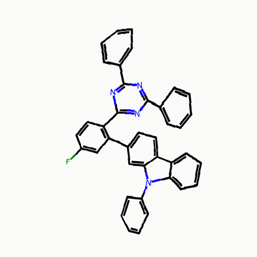 Fc1ccc(-c2nc(-c3ccccc3)nc(-c3ccccc3)n2)c(-c2ccc3c4ccccc4n(-c4ccccc4)c3c2)c1